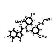 COc1cc(NC(C(=O)c2c[nH]c3c(C)c(F)ccc23)c2ccc(F)cc2OC)cc(OCCO)c1